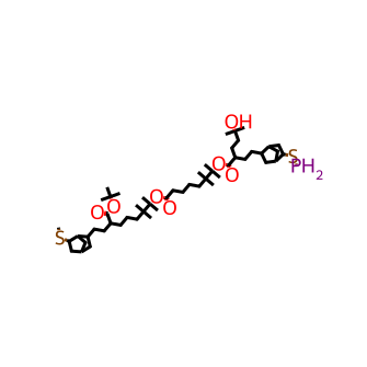 CSC1CC2CC(CCC(CCCC(C)(C)C(C)(C)OC(=O)CCCCC(C)(C)C(C)(C)OC(=O)C(CCC3CC4CC3CC4SP)CCC(C)(C)O)C(=O)OC(C)(C)C)C1C2